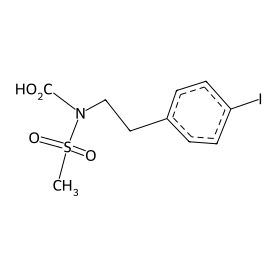 CS(=O)(=O)N(CCc1ccc(I)cc1)C(=O)O